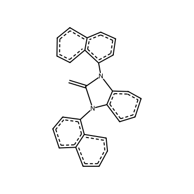 C=C1N(c2cccc3ccccc23)c2ccccc2N1c1cccc2ccccc12